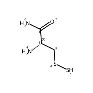 NC(=O)[C@@H](N)CSS